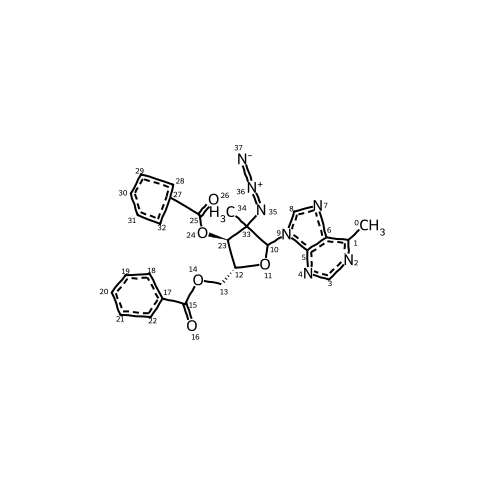 Cc1ncnc2c1ncn2C1O[C@H](COC(=O)c2ccccc2)[C@@H](OC(=O)c2ccccc2)C1(C)N=[N+]=[N-]